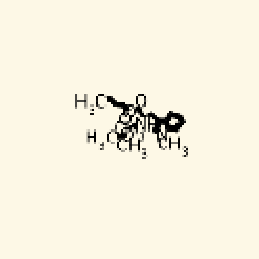 CCCCOC(=O)[C@@H](Cc1cn(C)c2ccccc12)NC(=O)OC(C)(C)C